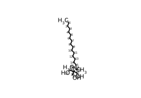 CCCCCCCCCCCCCCCC[N+](C)(C)C(CO)(CO)CO